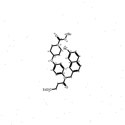 CCOC(=O)CCC(=O)N(Cc1ccc2ccc(C#N)cc2c1)c1ccc(OC2CCN(C(=O)OC(C)(C)C)CC2)cc1